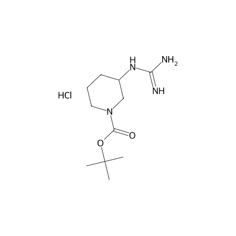 CC(C)(C)OC(=O)N1CCCC(NC(=N)N)C1.Cl